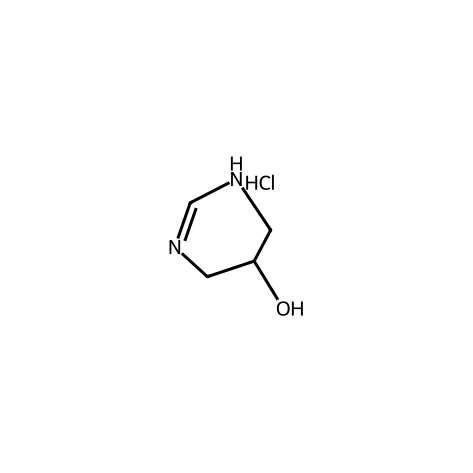 Cl.OC1CN=CNC1